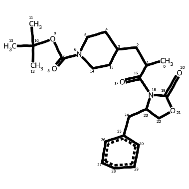 CC(CC1CCN(C(=O)OC(C)(C)C)CC1)C(=O)N1C(=O)OCC1Cc1ccccc1